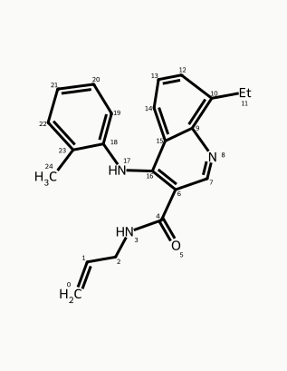 C=CCNC(=O)c1cnc2c(CC)cccc2c1Nc1ccccc1C